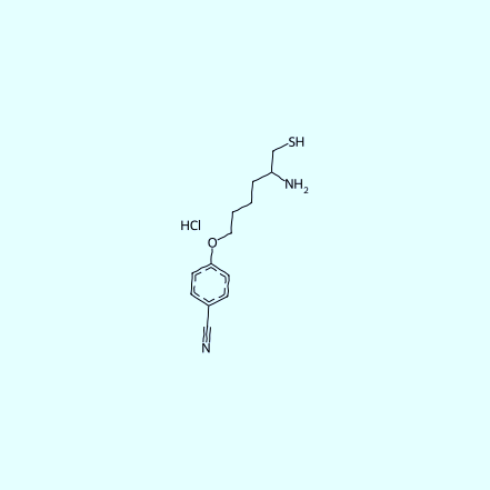 Cl.N#Cc1ccc(OCCCCC(N)CS)cc1